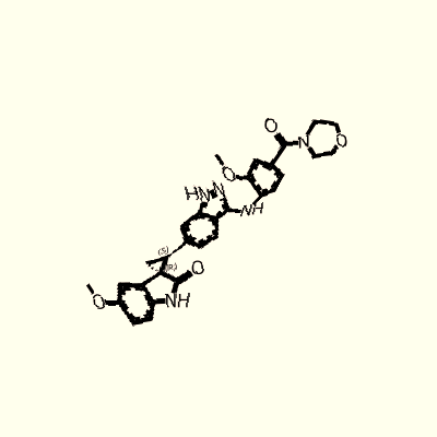 COc1ccc2c(c1)[C@]1(C[C@H]1c1ccc3c(Nc4ccc(C(=O)N5CCOCC5)cc4OC)n[nH]c3c1)C(=O)N2